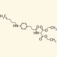 C=CCCCNc1ccc(CCC(=O)NC(C(=O)OCC)C(=O)OCC)cc1